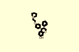 Oc1ccc2c(c1)OC[C@@H](c1ccccc1)[C@H]2c1ccc(OCCN2CCCCC2)cc1